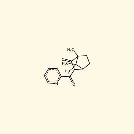 CC12CCC(C(C(=O)c3ccccn3)C1=O)C2(C)C